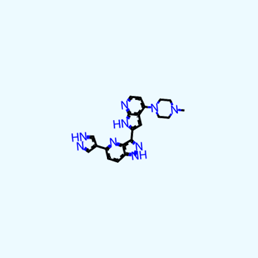 CN1CCN(c2ccnc3[nH]c(-c4n[nH]c5ccc(-c6cn[nH]c6)nc45)cc23)CC1